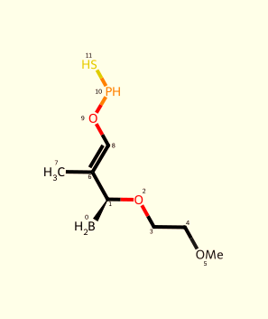 B[C@H](OCCOC)/C(C)=C/OPS